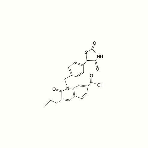 CCCc1cc2ccc(C(=O)O)cc2n(Cc2ccc(C3SC(=O)NC3=O)cc2)c1=O